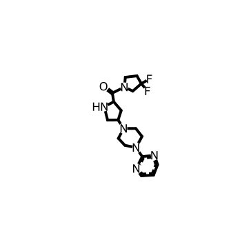 O=C(C1CC(N2CCN(c3ncccn3)CC2)CN1)N1CCC(F)(F)C1